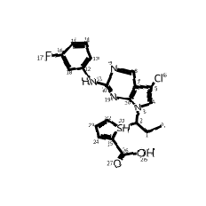 [CH2]CC(n1cc(Cl)c2cnc(Nc3cccc(F)c3)nc21)[SH]1C=CC=C1C(=O)O